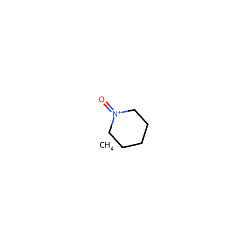 C.O=[N+]1CCCCC1